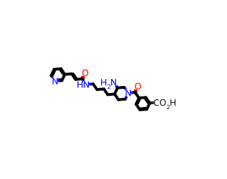 NC1CN(C(=O)c2cccc(C(=O)O)c2)CCC1CCCCNC(=O)/C=C/c1cccnc1